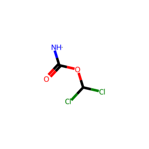 [NH]C(=O)OC(Cl)Cl